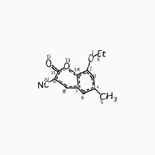 CCOc1cc(C)cc2cc(C#N)c(=O)oc12